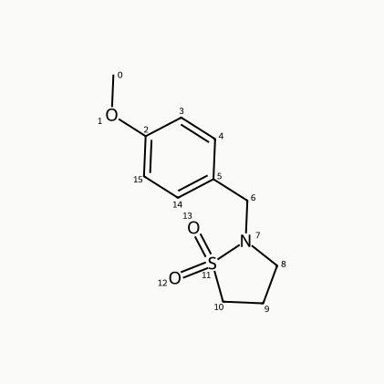 COc1ccc(CN2CCCS2(=O)=O)cc1